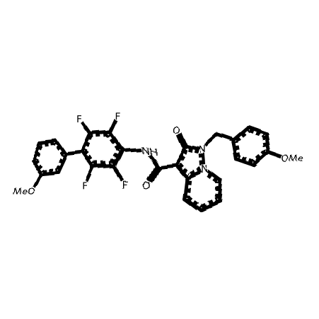 COc1ccc(Cn2c(=O)c(C(=O)Nc3c(F)c(F)c(-c4cccc(OC)c4)c(F)c3F)c3ccccn32)cc1